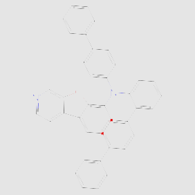 c1ccc(-c2ccc(-c3ccccc3N(c3ccc(-c4ccccc4)cc3)c3cccc4c3oc3cnccc34)cc2)cc1